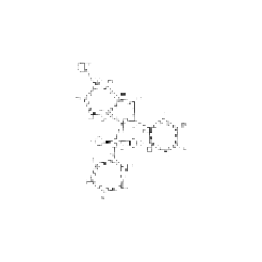 O=S(=O)(c1ccccn1)n1c(-c2ccccc2)cc2cc(Cl)ccc21